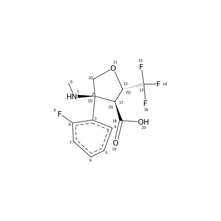 CN[C@@]1(c2ccccc2F)CO[C@H](C(F)(F)F)[C@H]1C(=O)O